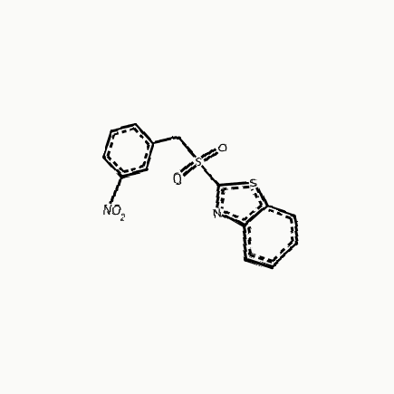 O=[N+]([O-])c1cccc(CS(=O)(=O)c2nc3ccccc3s2)c1